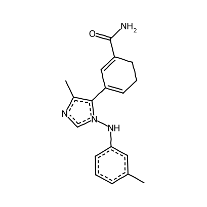 Cc1cccc(Nn2cnc(C)c2C2=CCCC(C(N)=O)=C2)c1